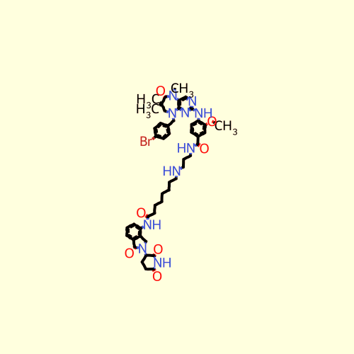 COc1cc(C(=O)NCCCNCCCCCCCC(=O)Nc2cccc3c2CN(C2CCC(=O)NC2=O)C3=O)ccc1Nc1ncc2c(n1)N(Cc1ccc(Br)cc1)CC(C)(C)C(=O)N2C